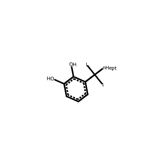 CCCCCCCC(I)(I)c1cccc(O)c1O